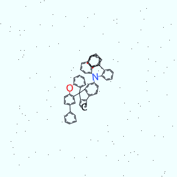 c1ccc(-c2ccc3c(c2)C2(c4ccccc4O3)c3ccccc3-c3ccc(N(c4ccccc4-c4ccccc4)c4cccc5ccccc45)cc32)cc1